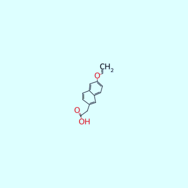 C=COc1ccc2cc(CC(=O)O)ccc2c1